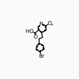 COc1cc(CCc2ccc(Br)cc2)c(C(=O)O)cn1